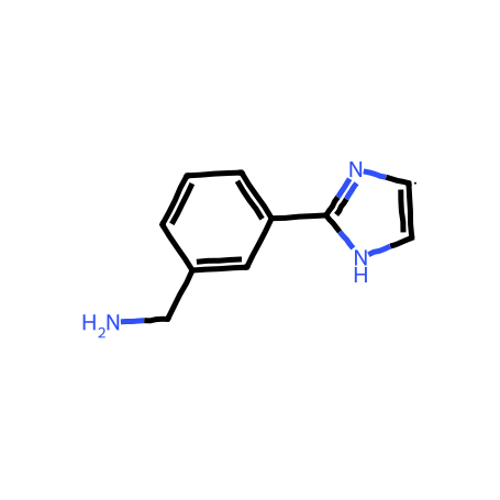 NCc1cccc(-c2n[c]c[nH]2)c1